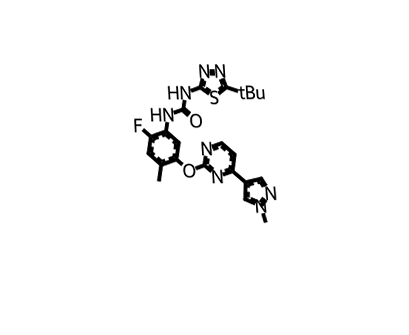 Cc1cc(F)c(NC(=O)Nc2nnc(C(C)(C)C)s2)cc1Oc1nccc(-c2cnn(C)c2)n1